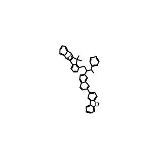 CC(c1ccccc1)C(Cc1cccc2c1C(C)(C)C1=C2C2OC1c1ccccc12)c1ccc2ccc(-c3ccc4oc5ccccc5c4c3)cc2c1